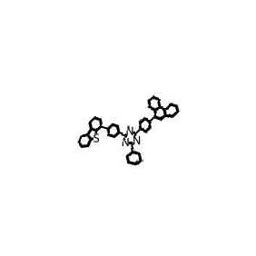 c1ccc(-c2nc(-c3ccc(-c4cc5ccccc5c5ccccc45)cc3)nc(-c3ccc(-c4cccc5c4sc4ccccc45)cc3)n2)cc1